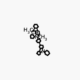 CC1(C)C2=CC(C)(N(c3ccccc3)c3ccc(-c4ccc5c(c4)c4ccccc4n5-c4ccccc4)cc3)CCC2c2ccccc21